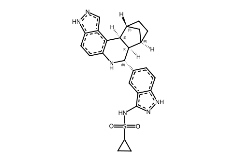 O=S(=O)(Nc1n[nH]c2ccc([C@@H]3Nc4ccc5[nH]ncc5c4[C@H]4[C@@H]5CC[C@H](C5)[C@H]43)cc12)C1CC1